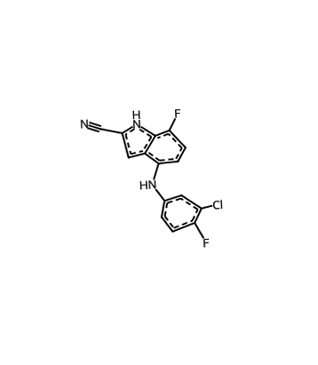 N#Cc1cc2c(Nc3ccc(F)c(Cl)c3)ccc(F)c2[nH]1